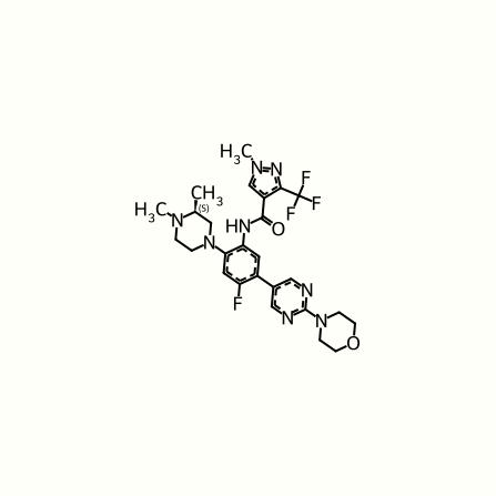 C[C@H]1CN(c2cc(F)c(-c3cnc(N4CCOCC4)nc3)cc2NC(=O)c2cn(C)nc2C(F)(F)F)CCN1C